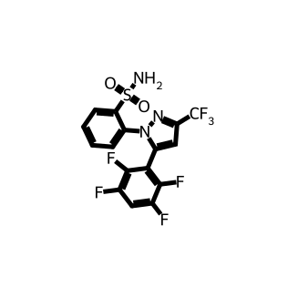 NS(=O)(=O)c1ccccc1-n1nc(C(F)(F)F)cc1-c1c(F)c(F)cc(F)c1F